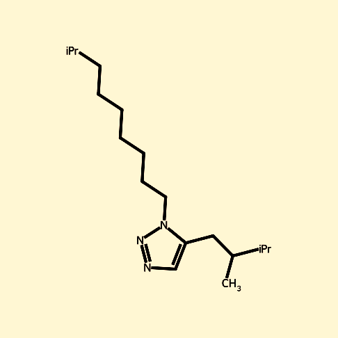 CC(C)CCCCCCCn1nncc1CC(C)C(C)C